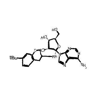 CC(C)(C)c1ccc2c(c1)OCC(N[C@@]1(n3cnc4c(N)ncnc43)O[C@H](CO)[C@@H](O)[C@H]1O)C2